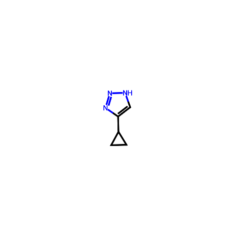 c1[nH]nnc1[C]1CC1